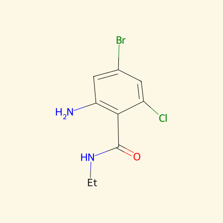 CCNC(=O)c1c(N)cc(Br)cc1Cl